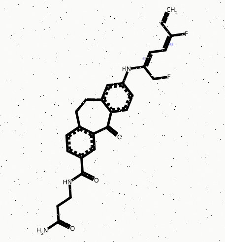 C=C/C(F)=C\C=C(/CF)Nc1ccc2c(c1)CCc1ccc(C(=O)NCCC(N)=O)cc1C2=O